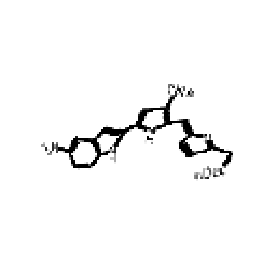 CCCCCCCCCCCC1=NC(=Cc2[nH]c(-c3cc4cc(N)ccc4[nH]3)cc2OC)C=C1